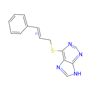 C(=C\c1ccccc1)/CSc1ncnc2[nH]cnc12